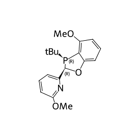 COc1cccc([C@@H]2Oc3cccc(OC)c3[P@]2C(C)(C)C)n1